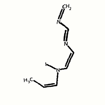 C=N/C=N/C=C\N(I)/C=C\C